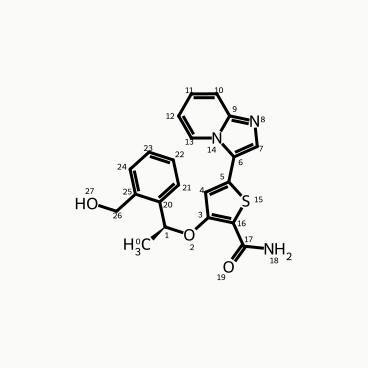 C[C@H](Oc1cc(-c2cnc3ccccn23)sc1C(N)=O)c1ccccc1CO